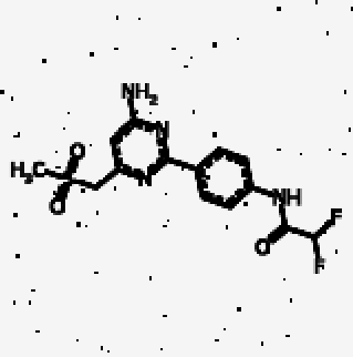 CS(=O)(=O)Cc1cc(N)nc(-c2ccc(NC(=O)C(F)F)cc2)n1